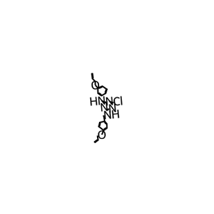 C=CCOc1ccc(CNc2nc(Cl)nc(Nc3cccc(OCC=C)c3)n2)cc1